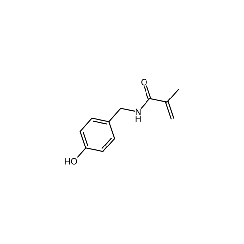 C=C(C)C(=O)NCc1ccc(O)cc1